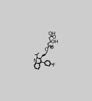 CC(C)c1nc2ccccc2c(-c2ccc(F)cc2)c1C#CCO[PH](=O)CC(O)CC(=O)O